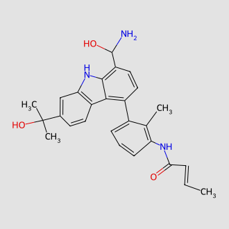 C/C=C/C(=O)Nc1cccc(-c2ccc(C(N)O)c3[nH]c4cc(C(C)(C)O)ccc4c23)c1C